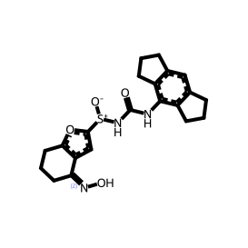 O=C(Nc1c2c(cc3c1CCC3)CCC2)N[S+]([O-])c1cc2c(o1)CCC/C2=N/O